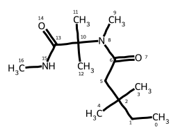 CCC(C)(C)CC(=O)N(C)C(C)(C)C(=O)NC